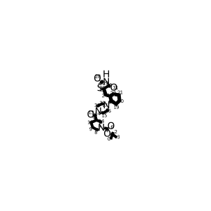 CC(C)(C)OC(=O)N1CCCC(C(=O)N2CCN(c3ccccc3C=C3SC(=O)NC3=O)CC2)C1